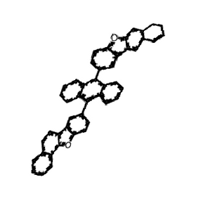 C1=Cc2cc3c(cc2CC1)oc1ccc(-c2c4ccccc4c(-c4ccc5oc6c7ccccc7ccc6c5c4)c4ccccc24)cc13